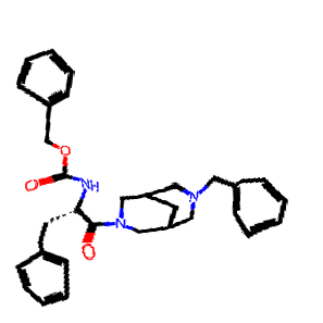 O=C(N[C@@H](Cc1ccccc1)C(=O)N1CC2CC(CN(Cc3ccccc3)C2)C1)OCc1ccccc1